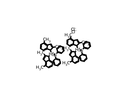 CC1=Cc2c(C)cccc2[CH]1[Hf]([CH]1C(C)=Cc2c(C)cccc21)=[Si](c1ccccc1)c1ccccc1.CC1=Cc2c(C)cccc2[CH]1[Hf]([CH]1C(C)=Cc2c(C)cccc21)=[Si](c1ccccc1)c1ccccc1.[Cl-].[Cl-]